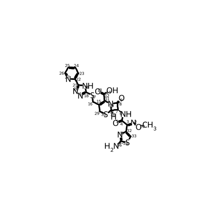 CON=C(C(=O)N[C@@H]1C(=O)N2C(C(=O)O)=C(CSc3nnc(-c4ccccn4)[nH]3)CS[C@@H]12)c1csc(N)n1